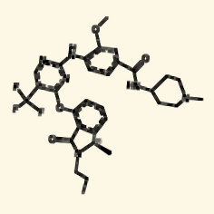 CCCN1C(=O)c2c(Oc3nc(Nc4ccc(C(=O)NC5CCN(C)CC5)cc4OC)ncc3C(F)(F)F)cccc2[C@H]1C